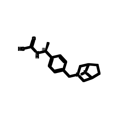 C[C@H](NC(=O)O)c1ccc(CN2CC3CCC(C2)N3C)cc1